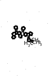 CC(C)(C)c1cccc(-n2c3ccccc3c3cc(N(c4ccccc4)c4cc5c(c6ccccc46)c4c6ccccc6ccc4n5-c4ccccc4)ccc32)c1